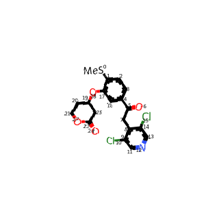 CSc1ccc(C(=O)Cc2c(Cl)cncc2Cl)cc1OC1CCOC(=O)C1